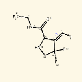 C/C=C1/C(C(=O)NCC(F)(F)F)NCC1(F)F